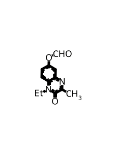 CCn1c(=O)c(C)nc2cc(OC=O)ccc21